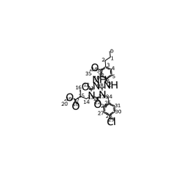 CCCc1ccc(NC2N(N)C(=O)N(C[C@H](C)C(=O)OC)C(=O)N2Cc2ccc(Cl)cc2)cc1OC